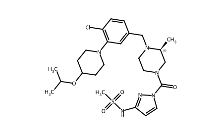 CC(C)OC1CCN(c2cc(CN3CCN(C(=O)n4ccc(NS(C)(=O)=O)n4)C[C@@H]3C)ccc2Cl)CC1